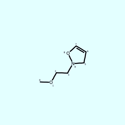 COCCN1CC=CO1